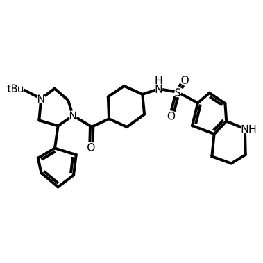 CC(C)(C)N1CCN(C(=O)C2CCC(NS(=O)(=O)c3ccc4c(c3)CCCN4)CC2)C(c2ccccc2)C1